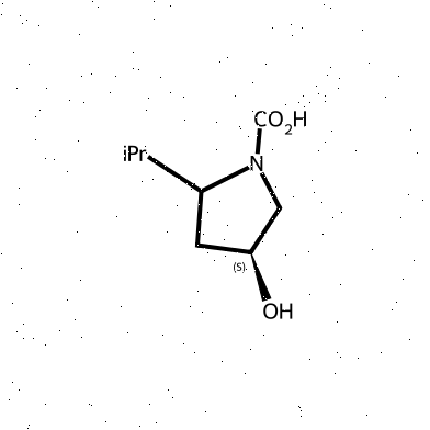 CC(C)C1C[C@H](O)CN1C(=O)O